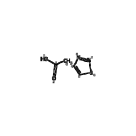 CC(=O)O.c1csnn1